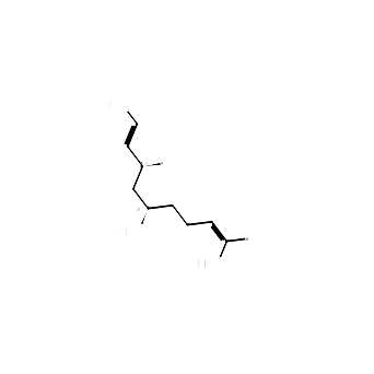 C/C=C/[C@@H](O)C[C@H](C)CCC=C(C)C